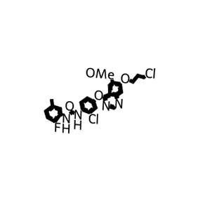 COc1cc2c(Oc3ccc(NC(=O)Nc4cc(C)ccc4F)c(Cl)c3)ncnc2cc1OCCCCl